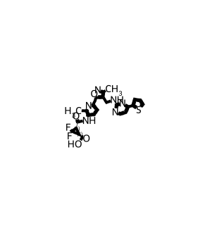 Cc1nc(-c2onc(C)c2CNc2nccc(-c3cccs3)n2)ccc1NC(=O)[C@@H]1[C@@H](C(=O)O)C1(F)F